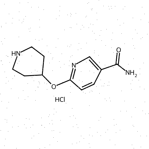 Cl.NC(=O)c1ccc(OC2CCNCC2)nc1